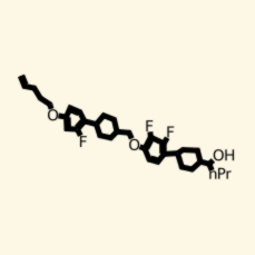 C=CCCCOc1ccc(C2CCC(COc3ccc(C4CCC(C(O)CCC)CC4)c(F)c3F)CC2)c(F)c1